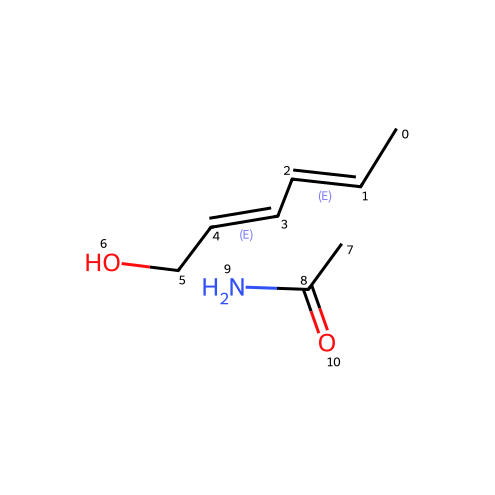 C/C=C/C=C/CO.CC(N)=O